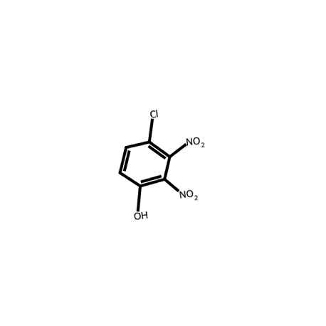 O=[N+]([O-])c1c(O)ccc(Cl)c1[N+](=O)[O-]